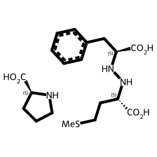 CSCC[C@H](NN[C@@H](Cc1ccccc1)C(=O)O)C(=O)O.O=C(O)[C@@H]1CCCN1